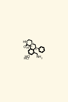 Cl.Cl.NCc1cccc2c1[C@H](c1ccccc1)CN1CCNC(=O)[C@H]21